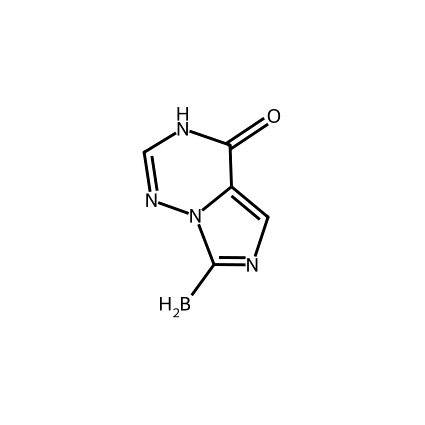 Bc1ncc2c(=O)[nH]cnn12